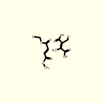 C/C(C(=O)O)=C(/CCl)C(=O)O.COC(=O)/C=C/C(=O)OCCl